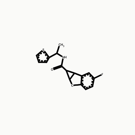 CC(NC(=O)C1C2Oc3ccc(F)cc3C21)c1cccs1